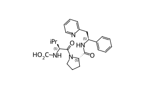 CC(C)[C@H](NC(=O)O)C(=O)N1CCC[C@H]1C(=O)N[C@@H](Cc1ccccn1)c1ccccc1